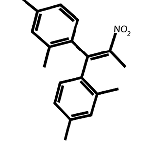 CC(=C(c1ccc(C)cc1C)c1ccc(C)cc1C)[N+](=O)[O-]